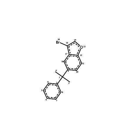 CC(C)(c1ccccc1)c1ccc2occ(Br)c2c1